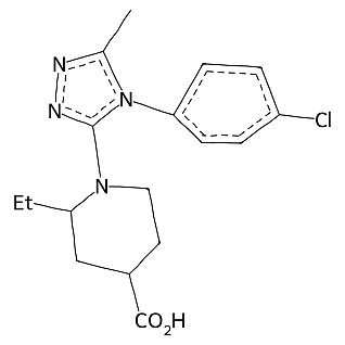 CCC1CC(C(=O)O)CCN1c1nnc(C)n1-c1ccc(Cl)cc1